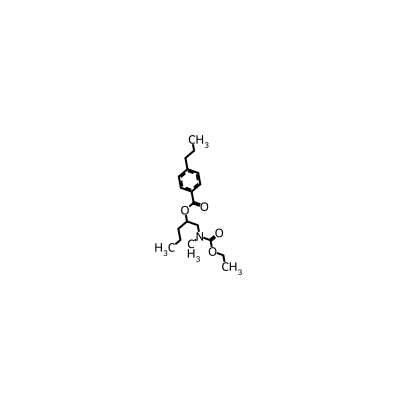 CCCc1ccc(C(=O)OC(CCC)CN(C)C(=O)OCC)cc1